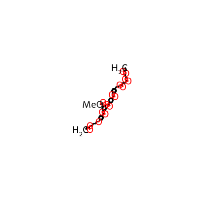 C=CC(=O)OCCCCOc1ccc(C(=O)Oc2ccc(OC(=O)C3CCC(C(=O)Oc4ccc(CCOC(=O)CCC(=O)OCCOC(=O)C=C)cc4)CC3)c(C(=O)OC)c2)cc1